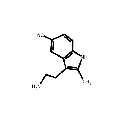 Cc1[nH]c2ccc(C#N)cc2c1CCN